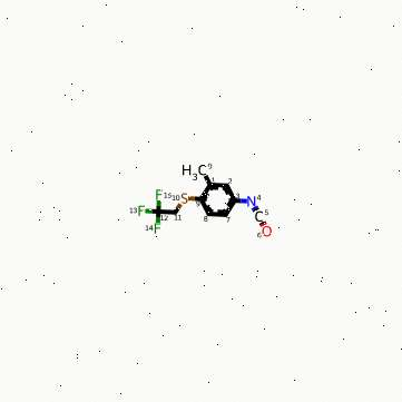 Cc1cc(N=C=O)ccc1SCC(F)(F)F